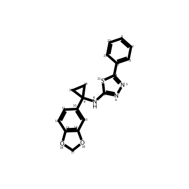 c1ccc(-c2nnc(NC3(c4ccc5c(c4)OCO5)CC3)s2)cc1